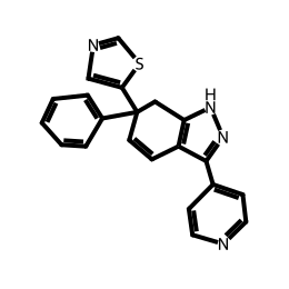 C1=CC(c2ccccc2)(c2cncs2)Cc2[nH]nc(-c3ccncc3)c21